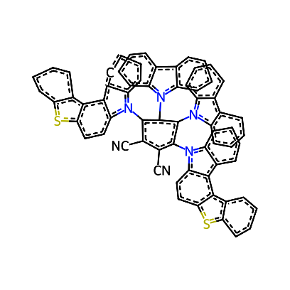 N#Cc1c(C#N)c(-n2c3ccccc3c3c4c(ccc32)sc2ccccc24)c(-n2c3ccccc3c3ccccc32)c(-n2c3ccccc3c3ccccc32)c1-n1c2ccccc2c2c3c(ccc21)sc1ccccc13